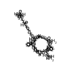 CC(C)C[C@H]1NC(=O)[C@H]2CCCN2C(=O)[C@@H](Cc2c[nH]c3ccccc23)NC(=O)[C@@H](NC(=O)COCCOCCOCCNC(=O)CCCC[C@H]2SC[C@H]3NC(=O)N[C@H]32)Cc2cn(nn2)CCCC[C@@H](C(N)=O)NC(=O)[C@@H](Cc2ccccc2)NC(=O)[C@@H](CCCNC(=N)N)NC1=O